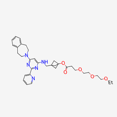 CCOCCOCCOCCC(=O)OC12CC(CNc3cc(N4CCc5ccccc5CC4)nc(-c4ccccn4)n3)(C1)C2